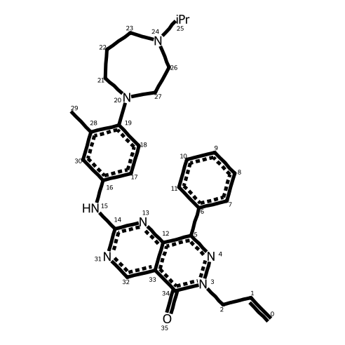 C=CCn1nc(-c2ccccc2)c2nc(Nc3ccc(N4CCCN(C(C)C)CC4)c(C)c3)ncc2c1=O